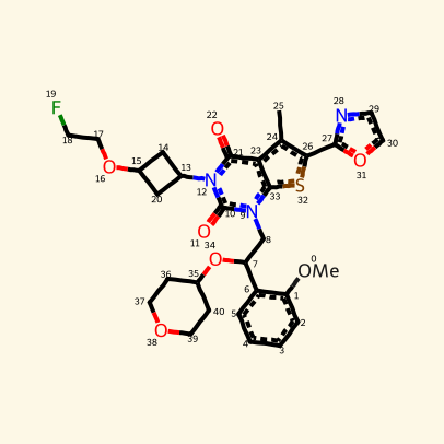 COc1ccccc1C(Cn1c(=O)n(C2CC(OCCF)C2)c(=O)c2c(C)c(-c3ncco3)sc21)OC1CCOCC1